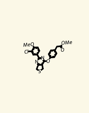 COC(=O)Cc1ccc(Oc2nc(-c3ccc(OC)c(Cl)c3)nc3c2CSC3)cc1